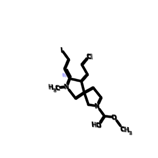 COC(O)N1CCC2(CN(C)/C(=C/CI)C2CCCl)C1